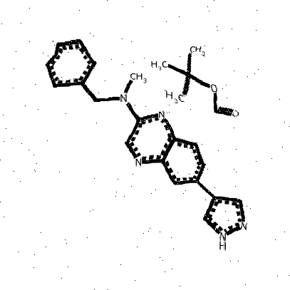 CC(C)(C)OC=O.CN(Cc1ccccc1)c1cnc2cc(-c3cn[nH]c3)ccc2n1